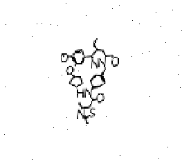 CCC1CC(C=O)N(Cc2ccc(NC(=O)c3sc(C)nc3C)cc2)N=C1c1ccc(OC)c(OC2CCCC2)c1